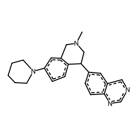 CN1Cc2cc(N3CCCCC3)ccc2C(c2ccc3ncncc3c2)C1